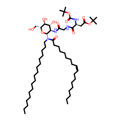 CCCCCCCC/C=C\CCCCCCCC(=O)N(CCCCCCCCCCCCCCCCCC)[C@@H]1O[C@H](CO)[C@@H](O)[C@H](O)[C@H]1NC(=O)CNC(=O)[C@H](CC(=O)OC(C)(C)C)NC(=O)OC(C)(C)C